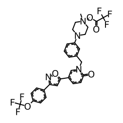 C[N+]1(OC(=O)C(F)(F)F)CCN(c2cccc(Cn3cc(-c4cc(-c5ccc(OC(F)(F)F)cc5)no4)ccc3=O)c2)CC1